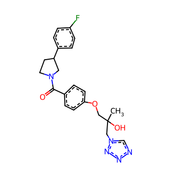 CC(O)(COc1ccc(C(=O)N2CCC(c3ccc(F)cc3)C2)cc1)Cn1cnnn1